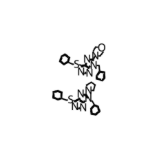 c1ccc(CSc2ncnc3c2nc(N2CCCC2)n3Cc2ccccc2)cc1.c1ccc(CSc2ncnc3c2nc(N2CCOCC2)n3Cc2ccccc2)cc1